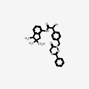 CC(C)C(C(=O)Nc1cccc2c1CC(C)(C(=O)O)C2C)c1ccc(CN2N=C(c3ccccc3)OCC2=O)cc1